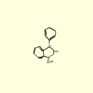 CN[C@@H]1CC[C@H](c2ccccc2)c2ccccc21.Cl